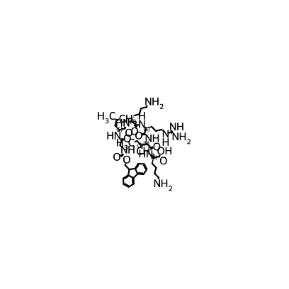 CC[C@H](C)[C@H](NC(=O)[C@H](CCCNC(=N)N)NC(=O)[C@@H](CCCCN)NC(=O)[C@H](CC(C)C)NC(=O)CNC(=O)OCC1c2ccccc2-c2ccccc21)C(=O)N[C@H](CCCCN)C(=O)O